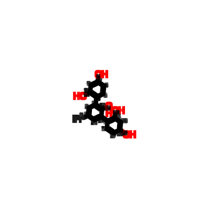 CC(C)c1cc(-c2ccc(O)cc2O)c(O)c(-c2ccc(O)cc2O)c1